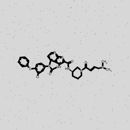 CN(C)C/C=C/C(=O)N1CCC[C@@H](NC(=O)c2sc3nccc4c3c2NC(=O)N4c2ccc(Oc3ccccc3)c(Cl)c2)C1